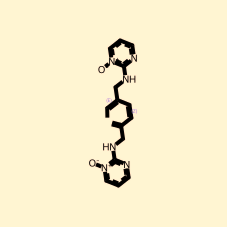 C=C(/C=C\C(=C/C)CNc1nccc[n+]1[O-])CNc1nccc[n+]1[O-]